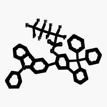 O=S(=O)(Oc1cc2c(cc1-c1ccc3c(c1)c1ccccc1n3-c1ccccc1)-c1ccccc1C2(c1ccccc1)c1ccccc1)C(F)(F)C(F)(F)C(F)(F)C(F)(F)F